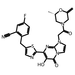 C=C1CN(C(=O)Cn2ccn3c(=O)c(O)c(-c4ncc(Cc5ccc(F)cc5C#N)s4)nc23)C[C@H](C)O1